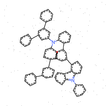 c1ccc(-c2cccc(-c3ccc(N(c4cc(-c5ccccc5)cc(-c5ccccc5)c4)c4ccccc4-c4cccc(-c5cccc6c5c5ccccc5n6-c5ccccc5)c4)cc3)c2)cc1